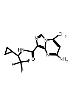 Cc1cc(N)nc2c(C(=O)NC(C3CC3)C(F)(F)F)ncn12